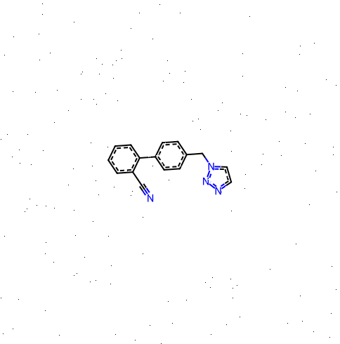 N#Cc1ccccc1-c1ccc(Cn2ccnn2)cc1